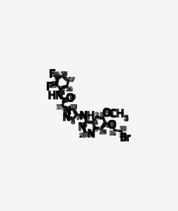 COc1cc2c(Nc3cnn(CC(=O)Nc4cccc(F)c4F)c3)ncnc2cc1OCCBr